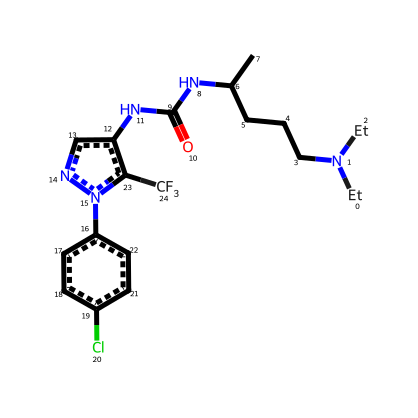 CCN(CC)CCCC(C)NC(=O)Nc1cnn(-c2ccc(Cl)cc2)c1C(F)(F)F